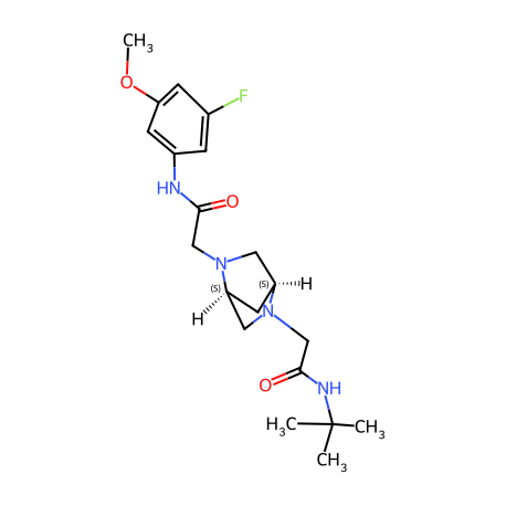 COc1cc(F)cc(NC(=O)CN2C[C@@H]3C[C@H]2CN3CC(=O)NC(C)(C)C)c1